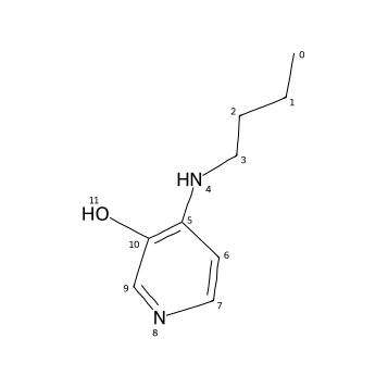 CCCCNc1ccncc1O